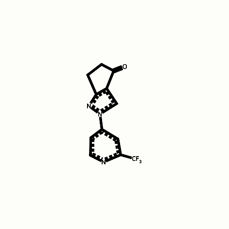 O=C1CCc2nn(-c3ccnc(C(F)(F)F)c3)cc21